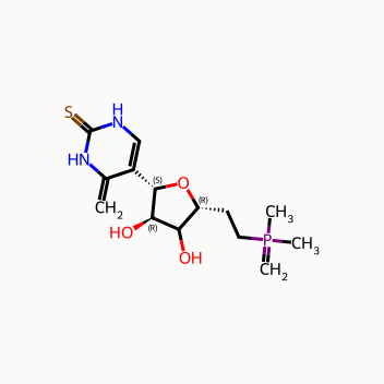 C=C1NC(=S)NC=C1[C@@H]1O[C@H](CCP(=C)(C)C)C(O)[C@H]1O